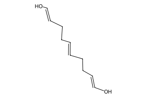 O/C=C/CC/C=C/CC/C=C/O